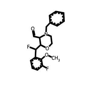 COc1c(F)cccc1C(F)C1OCCN(Cc2ccccc2)C1C=O